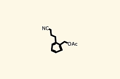 CC(=O)OCc1ccccc1CCCC#N